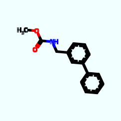 COC(=O)NCc1cccc(-c2ccccc2)c1